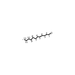 [CH2]CCCC[CH]CCCCCC[CH2]